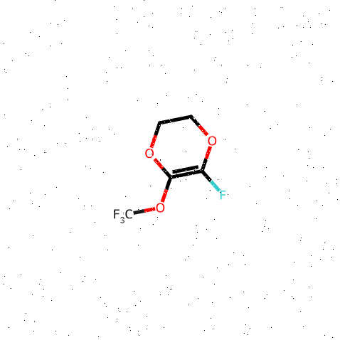 FC1=C(OC(F)(F)F)OCCO1